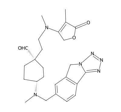 CC1=C(N(C)CC[C@]2(C=O)CC[C@@H](N(C)Cc3ccc4c(c3)Cn3nnnc3-4)CC2)COC1=O